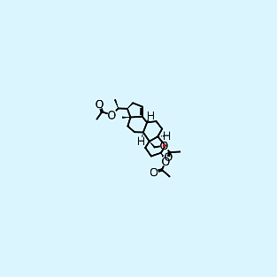 CC(=O)OC[C@]12CC[C@H](OC(C)=O)C[C@@H]1CC[C@H]1C3=CC[C@H]([C@H](C)OC(C)=O)[C@@]3(C)CC[C@@H]12